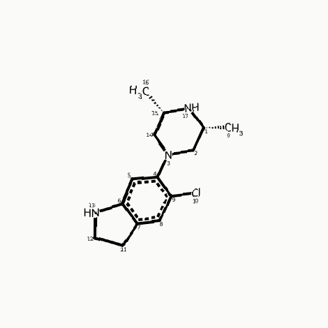 C[C@@H]1CN(c2cc3c(cc2Cl)CCN3)C[C@H](C)N1